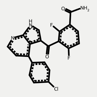 NC(=O)c1ccc(F)c(C(=O)c2c[nH]c3nccc(-c4ccc(Cl)cc4)c23)c1F